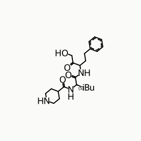 CC[C@H](C)C(NC(=O)C1CCNCC1)C(=O)NC(CCc1ccccc1)C(=O)CO